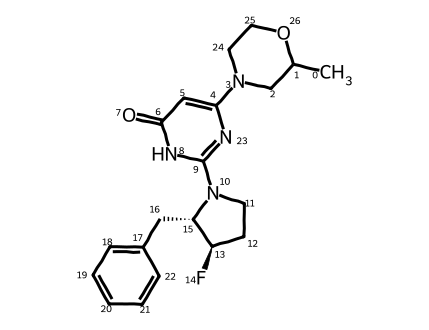 CC1CN(c2cc(=O)[nH]c(N3CC[C@@H](F)[C@@H]3Cc3ccccc3)n2)CCO1